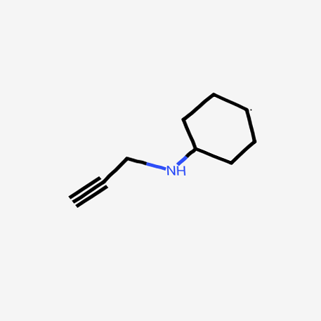 C#CCNC1CC[CH]CC1